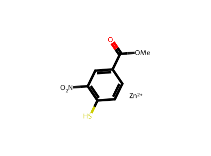 COC(=O)c1ccc(S)c([N+](=O)[O-])c1.[Zn+2]